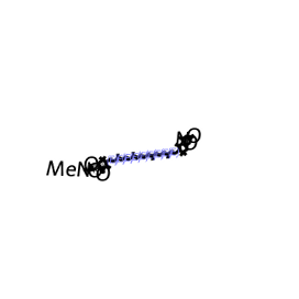 CNCC(=O)O[C@H]1CC(C)(C)C(/C=C/C(C)=C/C=C/C(C)=C/C=C/C=C(C)/C=C/C=C(C)/C=C/C2=C(C)C3=C(CC2(C)C)OC(=O)CN3C)=C(C)C1=O